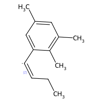 CC/C=[C]\c1cc(C)cc(C)c1C